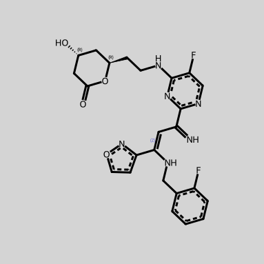 N=C(/C=C(\NCc1ccccc1F)c1ccon1)c1ncc(F)c(NCC[C@@H]2C[C@@H](O)CC(=O)O2)n1